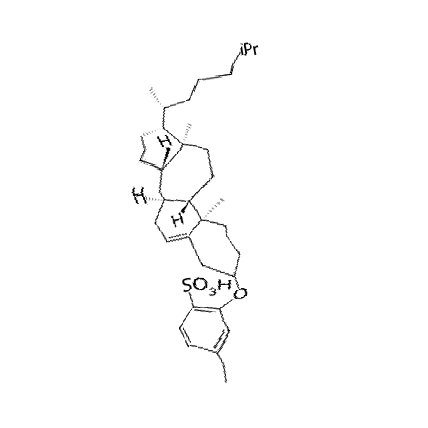 Cc1ccc(S(=O)(=O)O)c(OC2CC[C@@]3(C)C(=CC[C@H]4[C@@H]5CC[C@H]([C@H](C)CCCC(C)C)[C@@]5(C)CC[C@@H]43)C2)c1